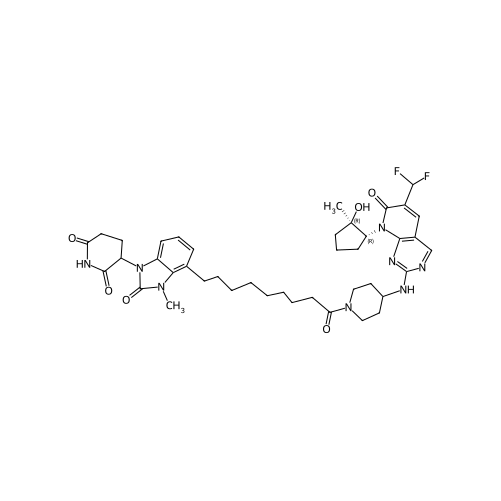 Cn1c(=O)n(C2CCC(=O)NC2=O)c2cccc(CCCCCCCCC(=O)N3CCC(Nc4ncc5cc(C(F)F)c(=O)n([C@@H]6CCC[C@@]6(C)O)c5n4)CC3)c21